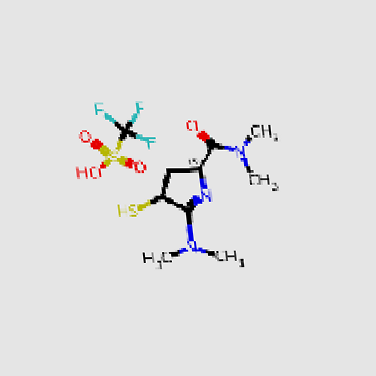 CN(C)C(=O)[C@@H]1CC(S)C(N(C)C)=N1.O=S(=O)(O)C(F)(F)F